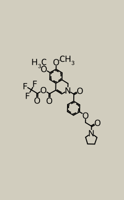 COc1cc2c(cc1OC)C(C(=O)OC(=O)C(F)(F)F)=CN(C(=O)c1cccc(OCC(=O)N3CCCC3)c1)C2